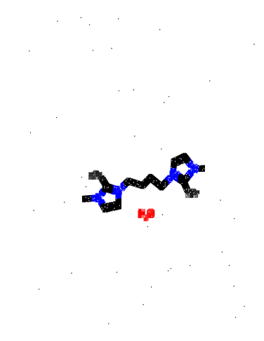 CCCc1n(C)cc[n+]1CCCC[n+]1ccn(C)c1CCC.O